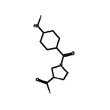 O=C(I)C1CCN(C(=O)C2CCC(NI)CC2)C1